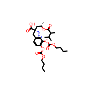 CCCCOC(=O)Oc1ccc(C[C@](N)(C[C@H](C)OC(=O)C(C)C(C)C)C(=O)O)cc1OC(=O)OCCCC